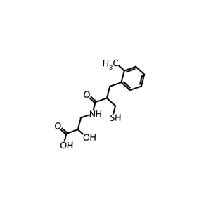 Cc1ccccc1CC(CS)C(=O)NCC(O)C(=O)O